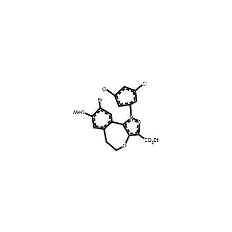 CCOC(=O)c1nn(-c2cc(Cl)cc(Cl)c2)c2c1OCCc1cc(OC)c(Br)cc1-2